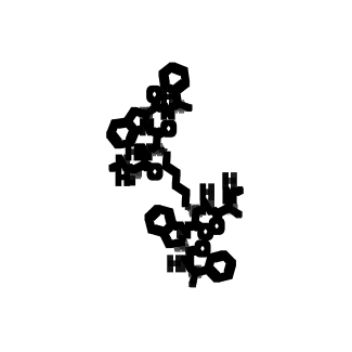 CN[C@@H](C)C(=O)N[C@@H](CCCCCC[C@H](NC(=O)[C@H](C)NC)C(=O)N1c2ccccc2C[C@H]1C(=O)N[C@H](C)c1ccccc1)C(=O)N1c2ccccc2C[C@H]1C(=O)N[C@H](C)c1ccccc1